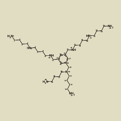 NCCCCNCCCCNCc1cc(CNCCCCNCCCCN)cc(CN(CCCCN)CCCCN)c1